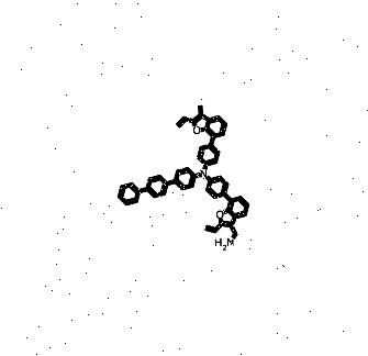 C=Cc1oc2c(-c3ccc(N(c4ccc(-c5ccc(-c6ccccc6)cc5)cc4)c4ccc(-c5cccc6c(CN)c(C=C)oc56)cc4)cc3)cccc2c1C